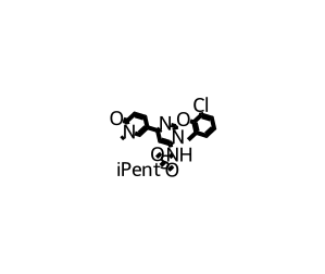 CCCC(C)S(=O)(=O)Nc1cc(-c2ccc(=O)n(C)c2)nc(Oc2c(C)cccc2Cl)n1